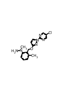 Cc1cccc(N(C)N)c1COc1ccn(-c2ncc(Cl)cn2)n1